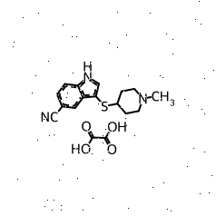 CN1CCC(Sc2c[nH]c3ccc(C#N)cc23)CC1.O=C(O)C(=O)O